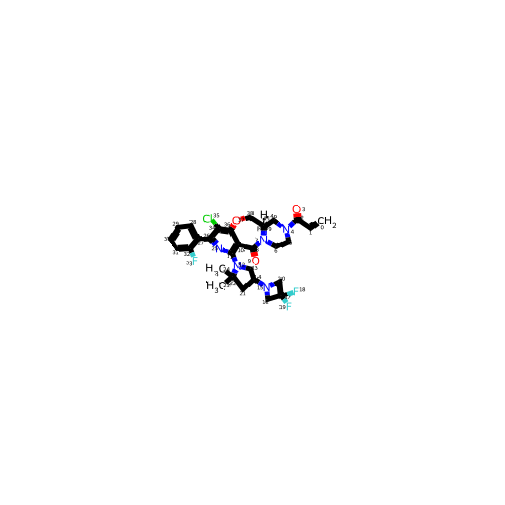 C=CC(=O)N1CCN2C(=O)c3c(N4CC(N5CC(F)(F)C5)CC4(C)C)nc(-c4ccccc4F)c(Cl)c3OC[C@H]2C1